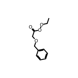 CCOOC(=O)COCc1ccccc1